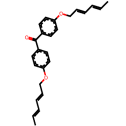 CC=CC=CCOc1ccc(C(=O)c2ccc(OCC=CC=CC)cc2)cc1